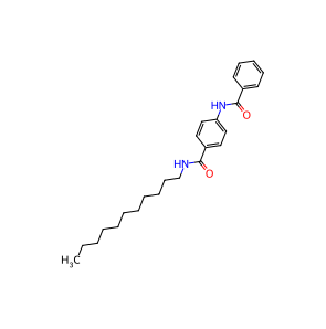 CCCCCCCCCCCNC(=O)c1ccc(NC(=O)c2ccccc2)cc1